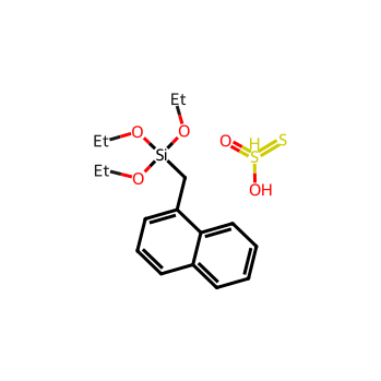 CCO[Si](Cc1cccc2ccccc12)(OCC)OCC.O=[SH](O)=S